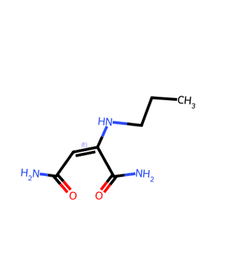 CCCN/C(=C/C(N)=O)C(N)=O